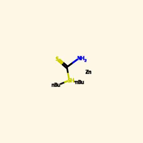 CCCC[SH](CCCC)C(N)=S.[Zn]